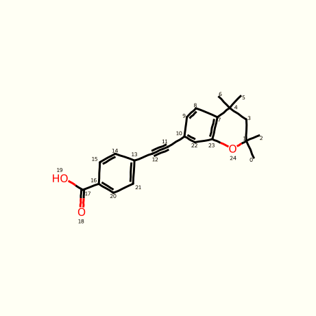 CC1(C)CC(C)(C)c2ccc(C#Cc3ccc(C(=O)O)cc3)cc2O1